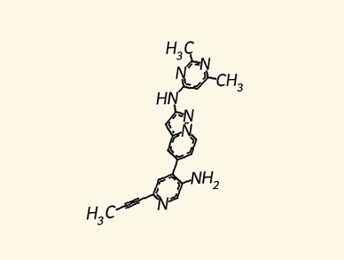 CC#Cc1cc(-c2ccn3nc(Nc4cc(C)nc(C)n4)cc3c2)c(N)cn1